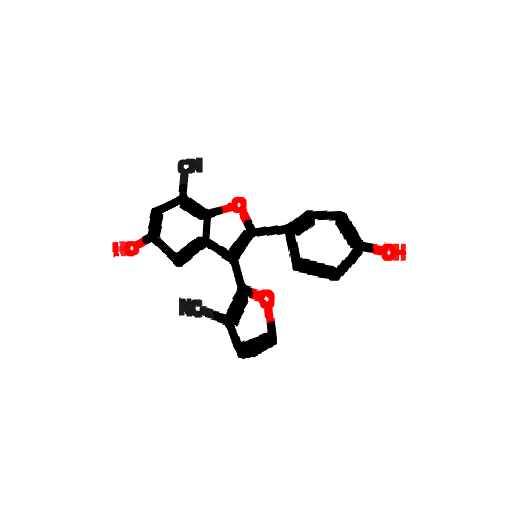 N#Cc1ccoc1-c1c(-c2ccc(O)cc2)oc2c(C#N)cc(O)cc12